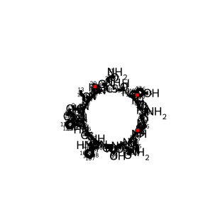 CCCC[C@H]1C(=O)N(C)[C@@H](CCCC)C(=O)N[C@@H](CC(C)C)C(=O)N[C@H](C(=O)NCC(N)=O)CSCC(=O)N[C@@H](Cc2ccc(O)cc2)C(=O)N(C)[C@@H](C)C(=O)N[C@@H](CC(N)=O)C(=O)N2CCC[C@H]2C(=O)N[C@@H](Cc2cnc[nH]2)C(=O)N[C@@H](CCC(N)=O)C(=O)N2C[C@H](O)C[C@H]2C(=O)N[C@@H](Cc2c[nH]c3ccccc23)C(=O)NCC(=O)N[C@@H](Cc2cn(CC(=O)O)c3ccccc23)C(=O)N1C